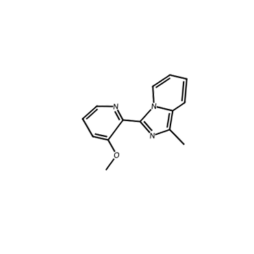 COc1cccnc1-c1nc(C)c2ccccn12